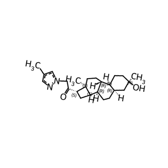 Cc1cnn(CC(=O)[C@H]2C[C@H]3[C@@H]4CC[C@@H]5C[C@](C)(O)CC[C@@H]5[C@H]4CC[C@]23C)c1